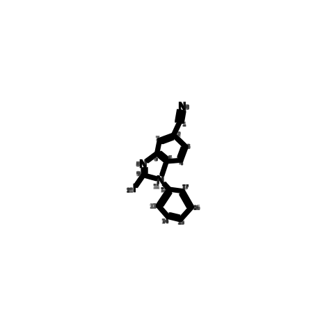 N#Cc1ccc2c(c1)nc(I)n2-c1ccccc1